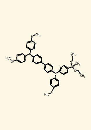 CCO[Si](C)(OCC)c1ccc(N(c2ccc(OC)cc2)c2ccc(-c3ccc(N(c4ccc(OC)cc4)c4ccc(OC)cc4)cc3)cc2)cc1